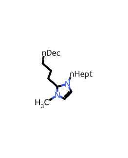 CCCCCCCCCCCCCC1N(C)C=CN1CCCCCCC